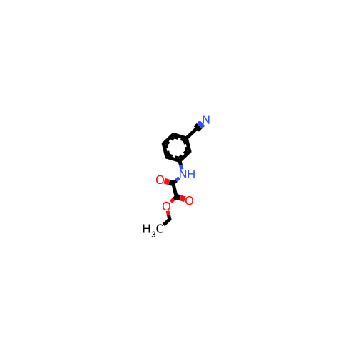 CCOC(=O)C(=O)Nc1cccc(C#N)c1